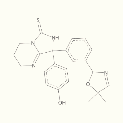 CC1(C)C=NC(c2cccc(C3(c4ccc(O)cc4)NC(=S)N4CCCN=C43)c2)O1